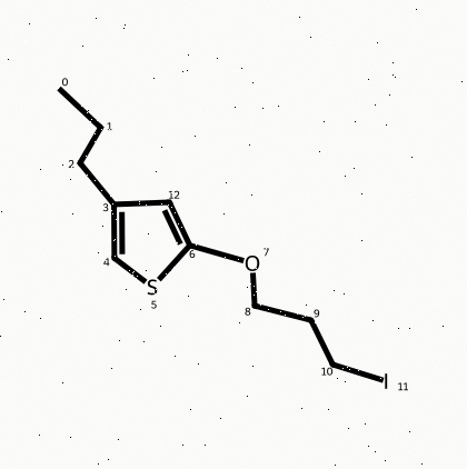 CCCc1csc(OCCCI)c1